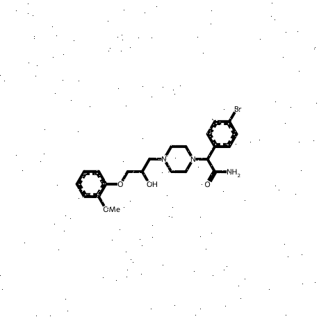 COc1ccccc1OCC(O)CN1CCN(C(C(N)=O)c2ccc(Br)cc2)CC1